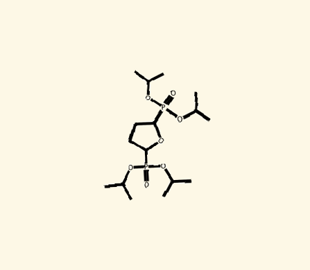 CC(C)OP(=O)(OC(C)C)C1CCC(P(=O)(OC(C)C)OC(C)C)O1